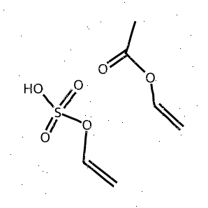 C=COC(C)=O.C=COS(=O)(=O)O